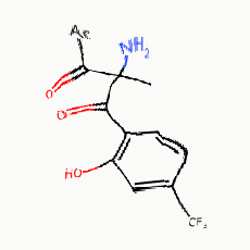 CC(=O)C(=O)C(C)(N)C(=O)c1ccc(C(F)(F)F)cc1O